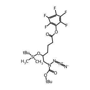 CC(C)(C)OC(=O)N(CC(CCCC(=O)Oc1c(F)c(F)c(F)c(F)c1F)O[Si](C)(C)C(C)(C)C)N=[N+]=[N-]